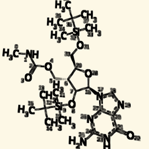 CNC(=O)OC[C@H]1C(O[Si](C)(C)C(C)(C)C)[C@H](n2cnc3c(=O)[nH]c(N)nc32)O[C@@H]1CO[Si](C)(C)C(C)(C)C